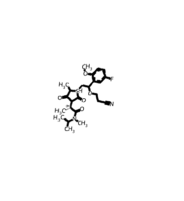 COc1ccc(F)cc1C(C[SH]1C(=O)C([C@@H](C)C(=O)N(C)C(C)C)C(=O)C1C)OCCC#N